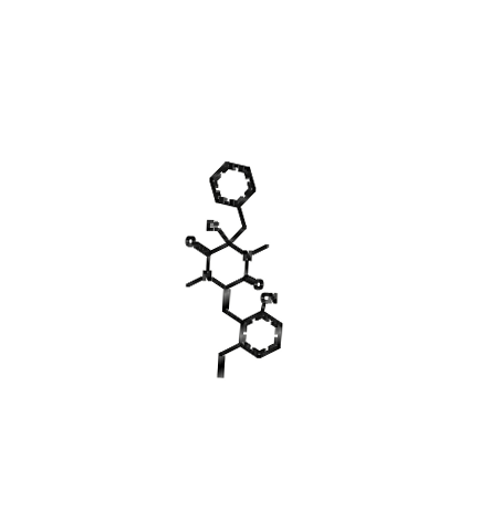 C=Cc1cccc(C#N)c1C=C1C(=O)N(C)C(CC)(Cc2ccccc2)C(=O)N1C